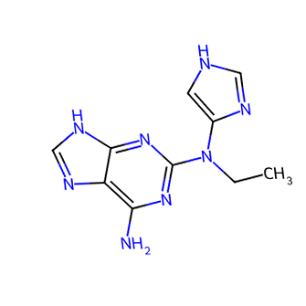 CCN(c1c[nH]cn1)c1nc(N)c2nc[nH]c2n1